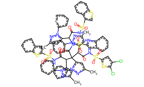 Cc1cc(C(C(=O)NS(=O)(=O)c2csc3ccccc23)N(C(=O)C(c2cc(C)nn2-c2ccccc2)(C(C(=O)NS(=O)(=O)c2cc(Cl)c(Cl)s2)c2cc(C)nn2-c2ccccc2)C(C(=O)NS(=O)(=O)c2cc3ccccc3s2)c2cc(C)nn2-c2ccccc2)S(=O)(=O)c2cc3ccccc3[nH]2)n(-c2ccccc2)n1